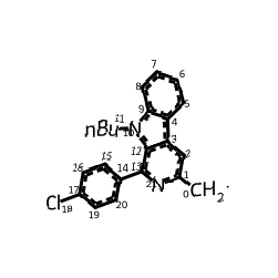 [CH2]c1cc2c3ccccc3n(CCCC)c2c(-c2ccc(Cl)cc2)n1